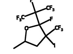 CC1CC(I)(C(F)(F)F)C(F)(C(F)(C(F)(F)F)C(F)(F)F)O1